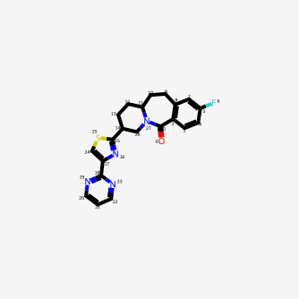 O=C1c2ccc(F)cc2CCC2CCC(c3nc(-c4ncccn4)cs3)CN12